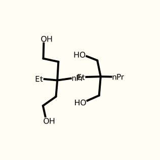 CCCC(CC)(CCO)CCO.CCCC(CC)(CO)CO